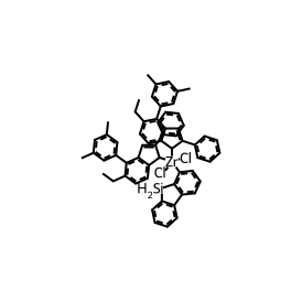 CCc1ccc2c(c1-c1cc(C)cc(C)c1)C=C(c1ccccc1)[CH]2[Zr]([Cl])([Cl])([c]1cccc2c1[SiH2]c1ccccc1-2)[CH]1C(c2ccccc2)=Cc2c1ccc(CC)c2-c1cc(C)cc(C)c1